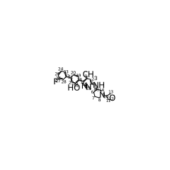 Cc1cc(N[C@@H]2CCCN(C3COC3)C2)nnc1-c1ccc(-c2cccc(F)c2)cc1O